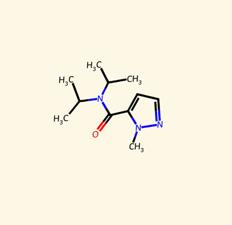 CC(C)N(C(=O)c1ccnn1C)C(C)C